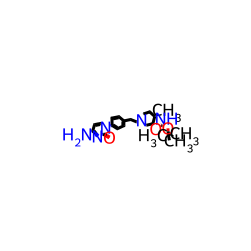 CC1(NC(=O)OC(C)(C)C)CCN(CCc2ccc(-n3ccc(N)nc3=O)cc2)CC1